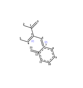 C=C(C)C(=C\C)/C=c1/ccccc1=C